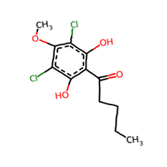 CCCCC(=O)c1c(O)c(Cl)c(OC)c(Cl)c1O